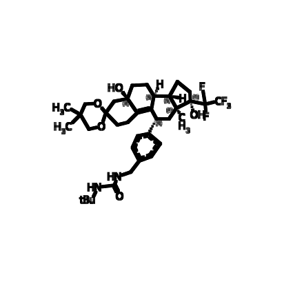 CC1(C)COC2(CCC3=C4[C@@H](CC[C@@]3(O)C2)[C@@H]2CC[C@@](O)(C(F)(F)C(F)(F)F)[C@@]2(C)C[C@@H]4c2ccc(CNC(=O)NC(C)(C)C)cc2)OC1